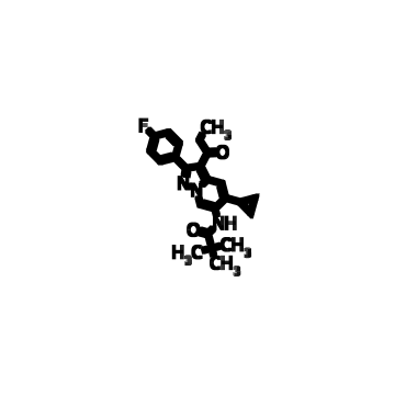 CCC(=O)c1c(-c2ccc(F)cc2)nn2cc(NC(=O)C(C)(C)C)c(C3CC3)cc12